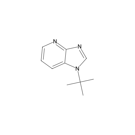 CC(C)(C)n1cnc2ncccc21